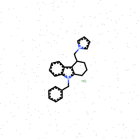 Cl.c1ccc(Cn2c3c(c4ccccc42)C(Cn2cccc2)CCC3)cc1